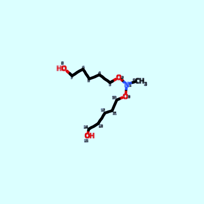 CN(OCCCCCO)OCCCCCO